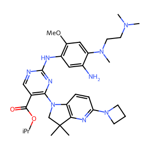 COc1cc(N(C)CCN(C)C)c(N)cc1Nc1ncc(C(=O)OC(C)C)c(N2CC(C)(C)c3nc(N4CCC4)ccc32)n1